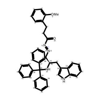 COc1ccccc1CCC(=O)/N=N/C[C@@H](Cc1c[nH]c2ccccc12)NC(c1ccccc1)(c1ccccc1)c1ccccc1